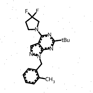 Cc1ccccc1Cn1ncc2c(N3CCC(F)(F)C3)nc(C(C)(C)C)nc21